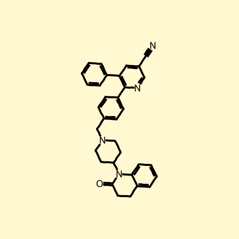 N#Cc1cnc(-c2ccc(CN3CCC(N4C(=O)CCc5ccccc54)CC3)cc2)c(-c2ccccc2)c1